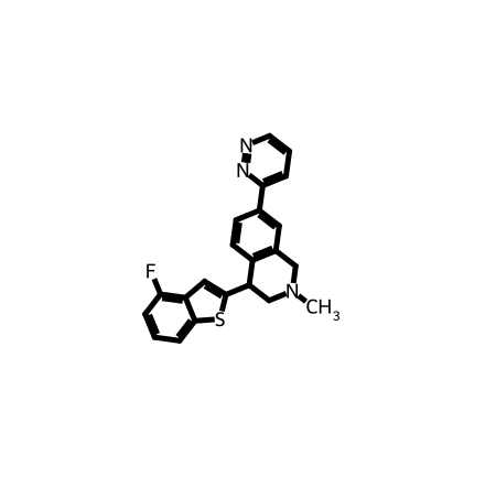 CN1Cc2cc(-c3cccnn3)ccc2C(c2cc3c(F)cccc3s2)C1